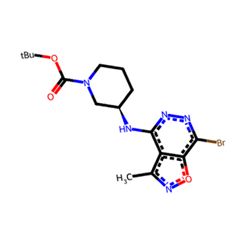 Cc1noc2c(Br)nnc(N[C@@H]3CCCN(C(=O)OC(C)(C)C)C3)c12